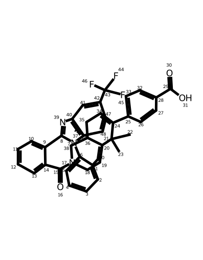 Cc1ccccc1-n1c(-c2ccccc2C(=O)N2CC=C3C(C)(C)C(c4ccc(C(=O)O)cc4)=CC[C@]3(C)C2)nc2cc(C(F)(F)F)ccc21